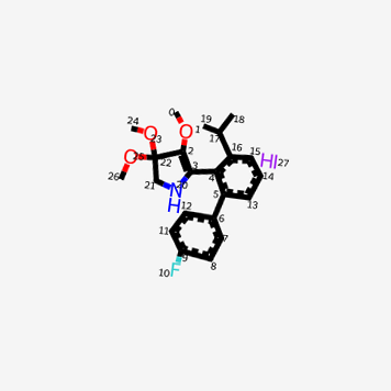 COC1=C(c2c(-c3ccc(F)cc3)cccc2C(C)C)NCC1(OC)OC.I